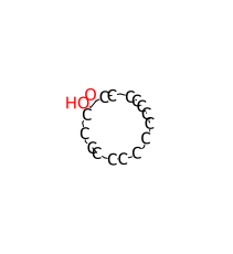 O=C1CCCCCCCCCCCCCCCCCCCCCCC1O